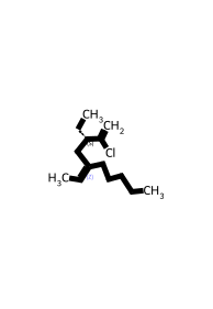 C=C(Cl)[C@@H](CC)C/C(=C\C)CCCCC